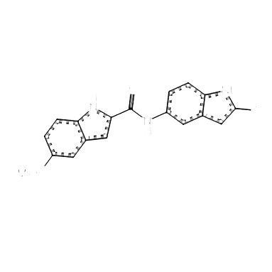 COc1ccc2[nH]c(C(=O)Nc3ccc4[nH]c(C(C)=O)cc4c3)cc2c1